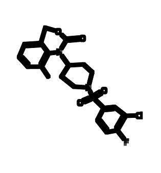 Cc1cccc2c1N(C1CCN(S(=O)(=O)c3ccc(F)c(Cl)c3)CC1)C(=O)OC2